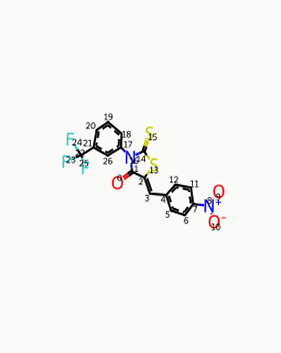 O=C1C(=Cc2ccc([N+](=O)[O-])cc2)SC(=S)N1c1cccc(C(F)(F)F)c1